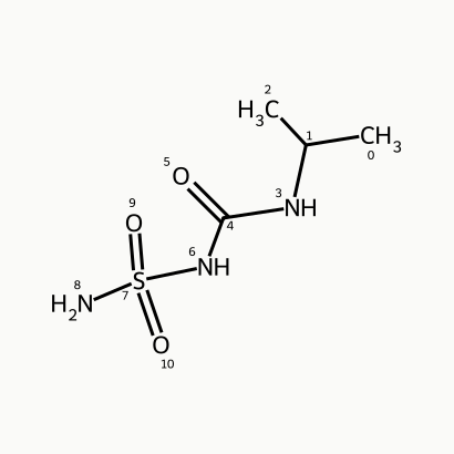 CC(C)NC(=O)NS(N)(=O)=O